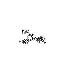 N#Cc1ccc(OP(=O)(O)CNS(=O)(=O)c2cc3cc(OCCNC(=O)Cc4ccc(O)c(O)c4)c(OCCNC(=O)Cc4ccc(O)c(O)c4)cc3s2)cc1F